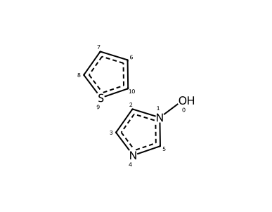 On1ccnc1.c1ccsc1